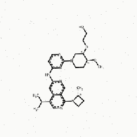 CO[C@H]1CCN(c2nccc(Nc3cc4c(C(C)C)cnc(N5CC[C@H]5C)c4cn3)n2)C[C@H]1OCCO